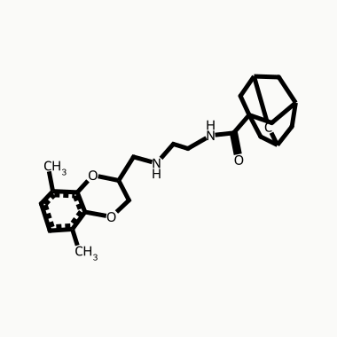 Cc1ccc(C)c2c1OCC(CNCCNC(=O)C13CC4CC(CC(C4)C1)C3)O2